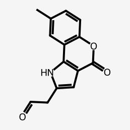 Cc1ccc2oc(=O)c3cc(CC=O)[nH]c3c2c1